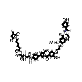 CC/C(=C\N1CC=Nc2cc(OCCCOc3cc4c(cc3O)C(=O)N3C=C(c5ccc(NC(=O)CNC(=O)C(NC(=O)CCCCCN6C(=O)CC(C)C6=O)C(C)C)cc5)CC3C=N4)c(OC)cc2C1=O)c1ccc(O)cc1